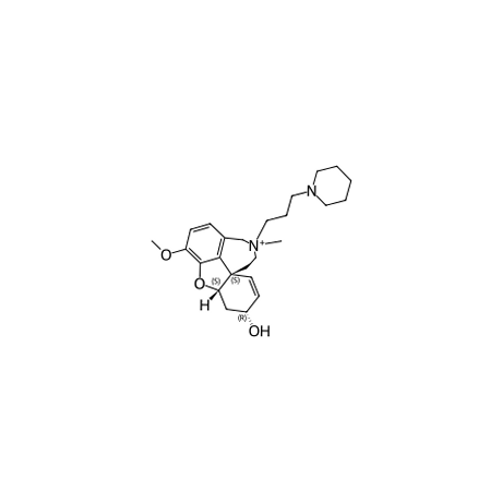 COc1ccc2c3c1O[C@H]1C[C@@H](O)C=C[C@@]31CC[N+](C)(CCCN1CCCCC1)C2